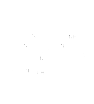 Cc1ccc(N(Cc2ccc3c4c(c(N)nc3c2)COC4)C(=O)c2cnc(C3CC3)nc2)c(C)n1